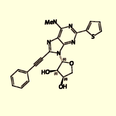 CNc1nc(-c2cccs2)nc2c1nc(C#Cc1ccccc1)n2[C@@H]1OC[C@@H](O)[C@H]1O